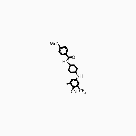 CNc1ccc(C(=O)NC2CCC(Nc3cc(C)c(C#N)c(C(F)(F)F)c3)CC2)cc1